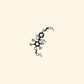 C=CCOc1ccc(C(C)(C)c2c(Br)c(Br)c(OCC=C)c(Br)c2Br)cc1